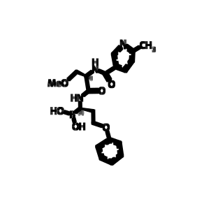 COC[C@@H](NC(=O)c1ccc(C)nc1)C(=O)N[C@@H](CCOc1ccccc1)B(O)O